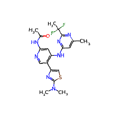 CC(=O)Nc1cc(Nc2cc(C)nc(C(C)(F)F)n2)c(-c2csc(N(C)C)n2)cn1